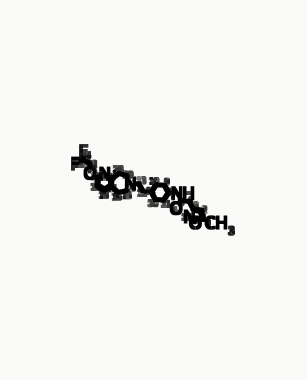 Cc1cc(CC(=O)N[C@H]2CC[C@H](CCN3CCc4ccc(OCC(F)F)nc4CC3)CC2)no1